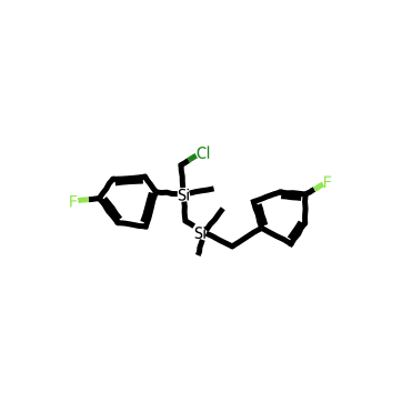 C[Si](C)(Cc1ccc(F)cc1)C[Si](C)(CCl)c1ccc(F)cc1